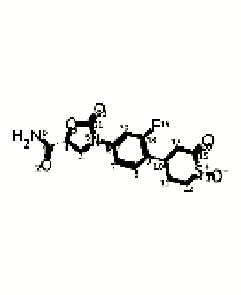 NC(=O)[C@H]1CN(c2ccc([C@@H]3CC[S@@+]([O-])C(=O)C3)c(F)c2)C(=O)O1